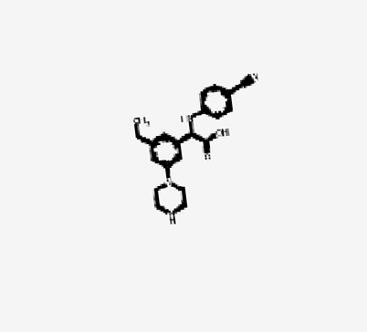 CCc1cc(C(Nc2ccc(C#N)cc2)C(=O)O)cc(N2CCNCC2)c1